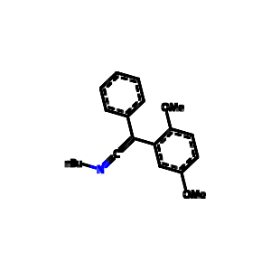 CCCCN=C=C(c1ccccc1)c1cc(OC)ccc1OC